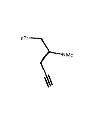 [C]#CCC(CCCC)NC